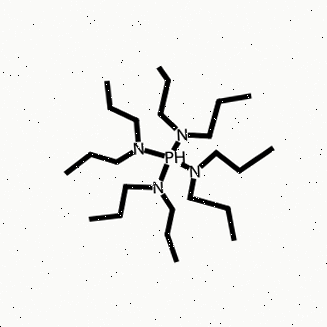 CCCN(CCC)[PH](N(CCC)CCC)(N(CCC)CCC)N(CCC)CCC